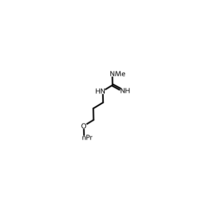 CCCOCCCNC(=N)NC